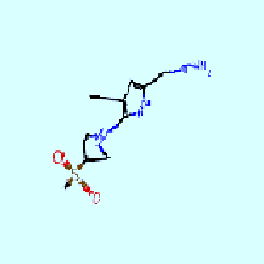 Cc1cc(CN)nnc1N1CC(S(C)(=O)=O)C1